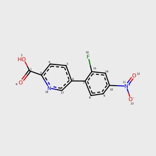 O=C(O)c1ccc(-c2ccc([N+](=O)[O-])cc2F)cn1